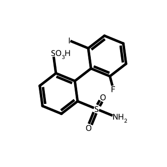 NS(=O)(=O)c1cccc(S(=O)(=O)O)c1-c1c(F)cccc1I